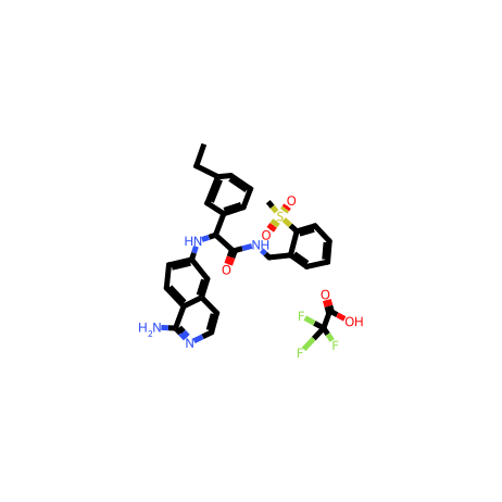 CCc1cccc(C(Nc2ccc3c(N)nccc3c2)C(=O)NCc2ccccc2S(C)(=O)=O)c1.O=C(O)C(F)(F)F